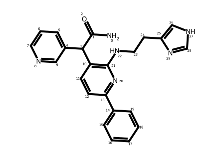 NC(=O)C(c1cccnc1)c1ccc(-c2ccccc2)nc1NCCc1c[nH]cn1